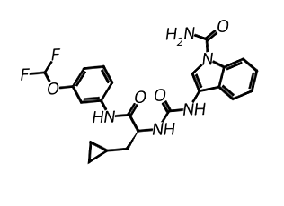 NC(=O)n1cc(NC(=O)N[C@@H](CC2CC2)C(=O)Nc2cccc(OC(F)F)c2)c2ccccc21